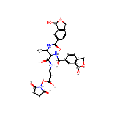 CC(NC(=O)c1ccc2c(c1)B(O)OC2)C(NC(=O)c1ccc2c(c1)B(O)OC2)C(=O)NCCC(=O)ON1C(=O)CCC1=O